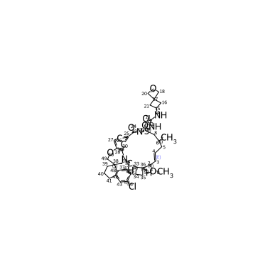 CO[C@H]1/C=C/C[C@H](C)C[S@@](=O)(NC(=O)NC2CC3(COC3)C2)=NC(=O)c2ccc3c(c2)N(C[C@@H]2CC[C@H]21)C[C@@]1(CCCc2cc(Cl)ccc21)CO3